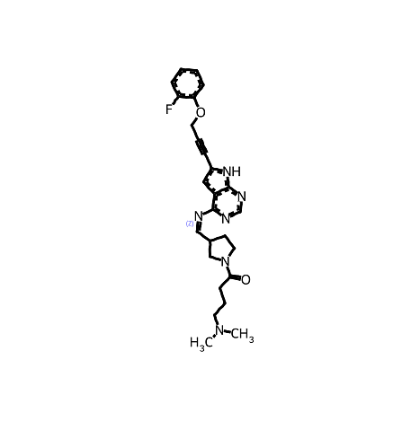 CN(C)CCCC(=O)N1CCC(/C=N\c2ncnc3[nH]c(C#CCOc4ccccc4F)cc23)C1